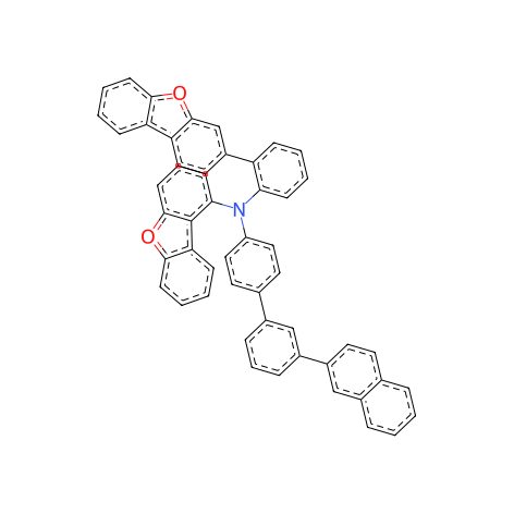 c1cc(-c2ccc(N(c3ccccc3-c3ccc4c(c3)oc3ccccc34)c3cccc4oc5ccccc5c34)cc2)cc(-c2ccc3ccccc3c2)c1